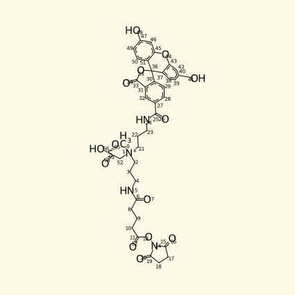 C[N+](CCCNC(=O)CCCC(=O)ON1C(=O)CCC1=O)(CCCNC(=O)c1ccc2c(c1)C(=O)OC21c2ccc(O)cc2Oc2cc(O)ccc21)CS(=O)(=O)O